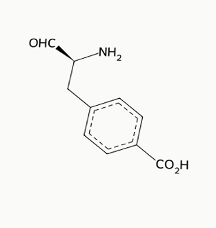 N[C@H](C=O)Cc1ccc(C(=O)O)cc1